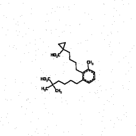 Cc1cccc(CCCCC(C)(C)C(=O)O)c1CCCCC1(C(=O)O)CC1